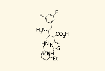 CCc1cccc(CNCC(C(N)Cc2cc(F)cc(F)c2)[C@H](C(=O)O)c2csc(NC(C)=O)n2)c1